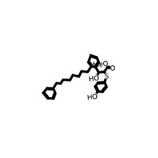 COC(=O)C(Sc1ccc(O)cc1)C(O)c1ccccc1CCCCCCCCc1ccccc1